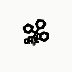 CC(C=O)[PH](c1ccccc1)(c1ccccc1)c1ccccc1